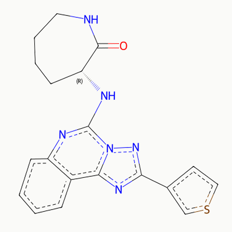 O=C1NCCCC[C@H]1Nc1nc2ccccc2c2nc(-c3ccsc3)nn12